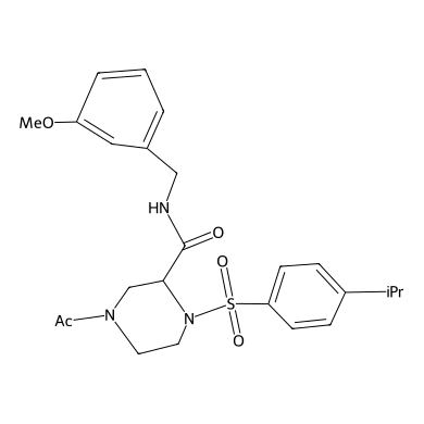 COc1cccc(CNC(=O)C2CN(C(C)=O)CCN2S(=O)(=O)c2ccc(C(C)C)cc2)c1